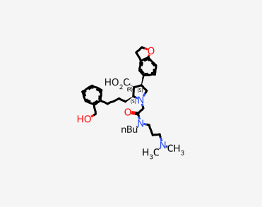 CCCCN(CCCN(C)C)C(=O)CN1C[C@H](c2ccc3c(c2)CCO3)[C@@H](C(=O)O)[C@@H]1CCCc1ccccc1CO